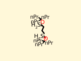 CCCC(CCC)(CCC)O[SiH2]CCC[SiH2]OC(CCC)(CCC)CCC